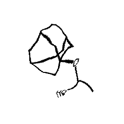 CC(O)OC12CC3CC(CC(C3)C1)C2